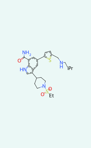 CCS(=O)(=O)N1CCC(c2c[nH]c3c(C(N)=O)cc(-c4ccc(CNCC(C)C)s4)cc23)CC1